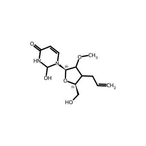 C=CCC1C(OC)[C@H](N2C=CC(=O)NC2O)O[C@@H]1CO